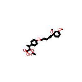 CCOC(C(=O)O)C(C)c1ccc(OC/C=C/C#CC2(OC)C=CC=C(OC)C2)cc1